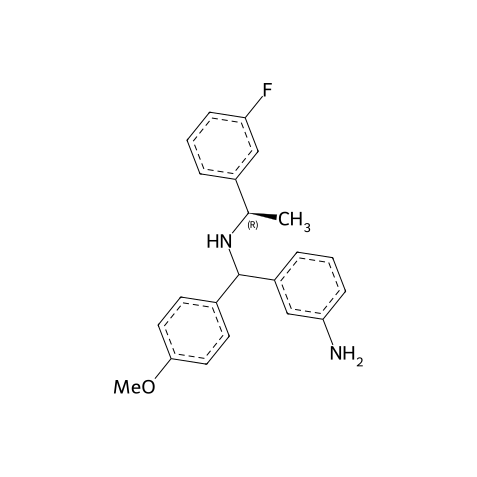 COc1ccc(C(N[C@H](C)c2cccc(F)c2)c2cccc(N)c2)cc1